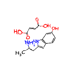 CC(N)Cc1cc2ccc(O)cc2[nH]1.O=C(O)/C=C/C(=O)O